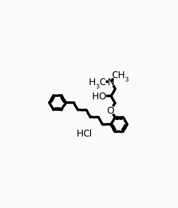 CN(C)CC(O)COc1ccccc1CCCCCCc1ccccc1.Cl